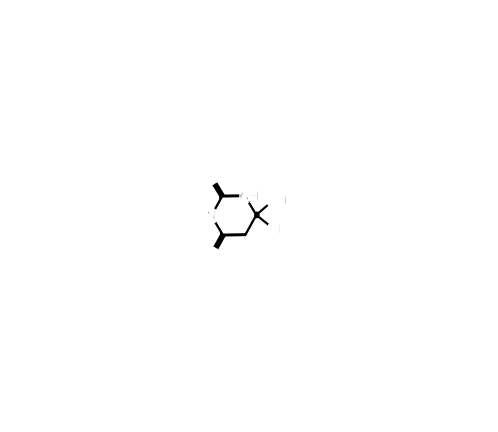 CC1(C)CC(=O)[N]C(=O)N1